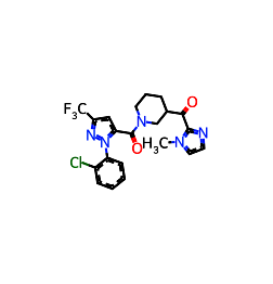 Cn1ccnc1C(=O)C1CCCN(C(=O)c2cc(C(F)(F)F)nn2-c2ccccc2Cl)C1